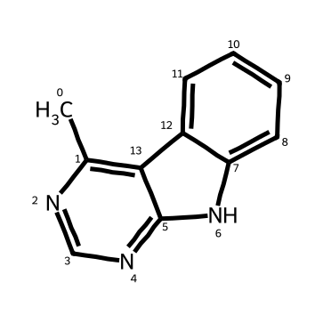 Cc1ncnc2[nH]c3ccccc3c12